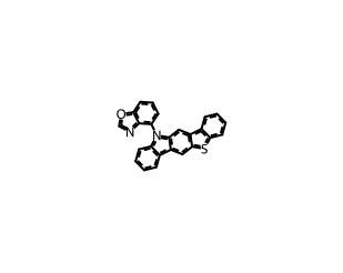 c1cc(-n2c3ccccc3c3cc4sc5ccccc5c4cc32)c2ncoc2c1